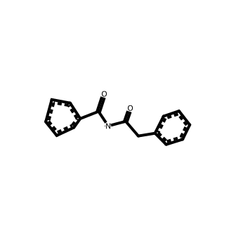 O=C(Cc1ccccc1)[N]C(=O)c1ccccc1